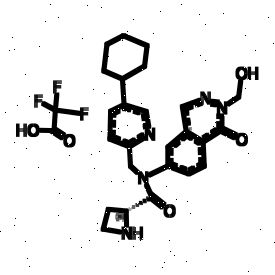 O=C(O)C(F)(F)F.O=C([C@H]1CCN1)N(Cc1ccc(C2CCCCC2)cn1)c1ccc2c(=O)n(CO)ncc2c1